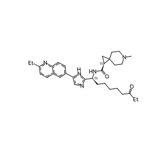 CCC(=O)CCCCC[C@H](NC(=O)[C@H]1CC12CCN(C)CC2)c1ncc(-c2ccc3nc(CC)ccc3c2)[nH]1